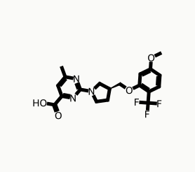 COc1ccc(C(F)(F)F)c(OC[C@H]2CCN(c3nc(C)cc(C(=O)O)n3)C2)c1